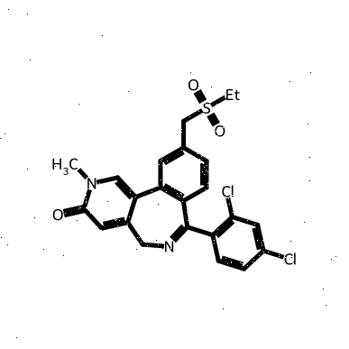 CCS(=O)(=O)Cc1ccc2c(c1)-c1cn(C)c(=O)cc1CN=C2c1ccc(Cl)cc1Cl